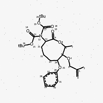 C=C(C)COC1C(C)OC(=O)C(N(C(=O)OC(C)(C)C)C(=O)OC(C)(C)C)CCCC1Oc1ccccc1